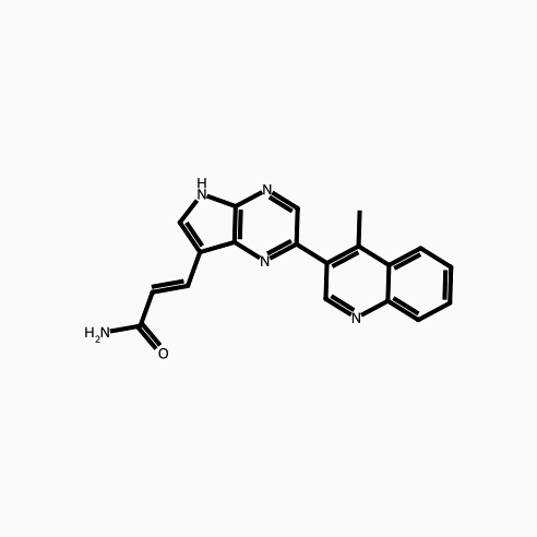 Cc1c(-c2cnc3[nH]cc(/C=C/C(N)=O)c3n2)cnc2ccccc12